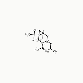 CC(C)(C)[C@]12C[C@H]1C[C@@H](CCO)N(C(=O)O)C2